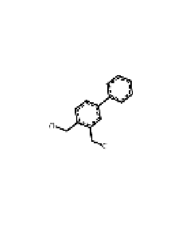 ClCc1ccc(-c2ccccc2)cc1CCl